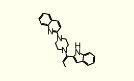 CC=C(c1cc2ccccc2[nH]1)N1CCN(c2ccc3ccccc3n2)CC1